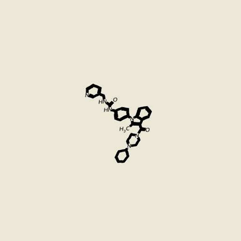 Cc1c(C(=O)N2CCN(C3CCCCC3)CC2)c2ccccc2n1-c1ccc(NC(=O)NCc2cccnc2)cc1